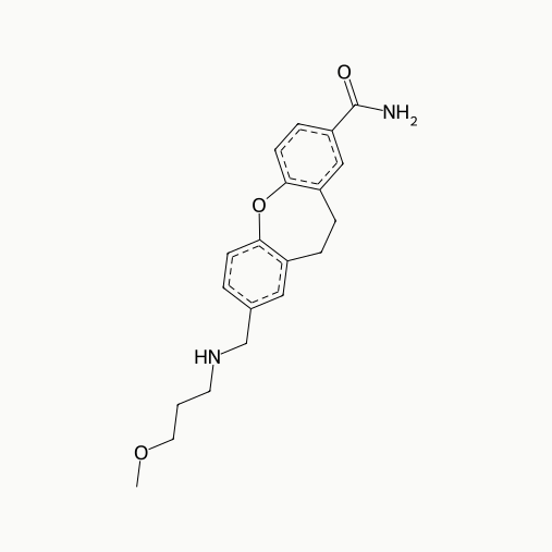 COCCCNCc1ccc2c(c1)CCc1cc(C(N)=O)ccc1O2